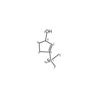 [CH3][Sn]([CH3])([CH3])[C]1=CC(O)CC1